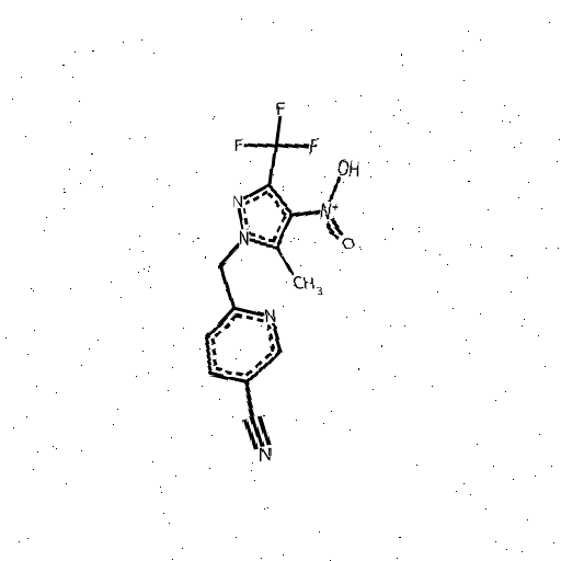 Cc1c([N+](=O)O)c(C(F)(F)F)nn1Cc1ccc(C#N)cn1